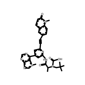 CC(C(=O)Nc1cc(-c2ncnc3ncn(C)c23)cc(C#Cc2ccc3c(ccc(=O)n3C)c2)n1)N(CC(C)(C)C)C(=O)O